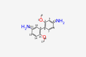 COc1cc(N)ccc1-c1cc(N)ccc1OC